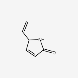 C=CC1C=CC(=O)N1